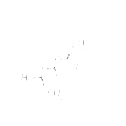 C=C=C(O)OC(=O)OC(O)=C=C